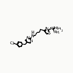 N=C(N)Nc1nc(CCCCNc2ncc(Cc3ccc(Cl)cc3)cn2)cs1